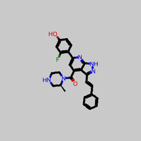 C[C@H]1CNCCN1C(=O)c1cc(-c2ccc(O)cc2F)nc2[nH]nc(C=Cc3ccccc3)c12